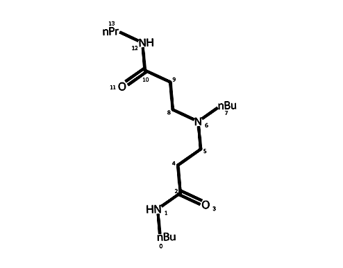 CCCCNC(=O)CCN(CCCC)CCC(=O)NCCC